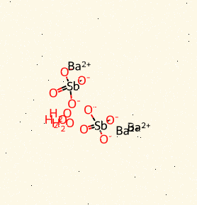 O.O.O.[Ba+2].[Ba+2].[Ba+2].[O]=[Sb]([O-])([O-])[O-].[O]=[Sb]([O-])([O-])[O-]